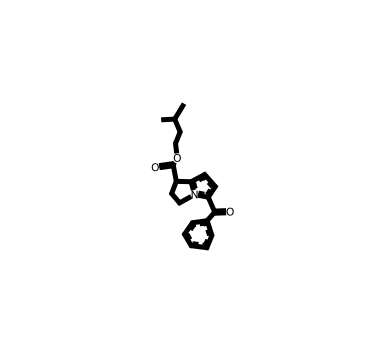 CC(C)CCOC(=O)C1CCn2c(C(=O)c3ccccc3)ccc21